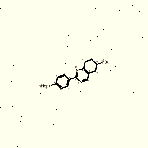 CCCCCCCc1ccc(-c2ncc3c(n2)CCC(CCCC)C3)cc1